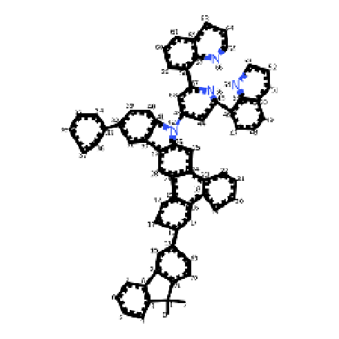 CC1(C)c2ccccc2-c2cc(-c3ccc4c(c3)c3ccccc3c3cc5c(cc43)c3cc(-c4ccccc4)ccc3n5-c3cc(-c4cccc5cccnc45)nc(-c4cccc5cccnc45)c3)ccc21